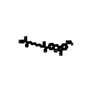 O=C(CCCCCCNC(=O)c1ccc(Cc2c[nH]c3ccc([N+](=O)[O-])cc23)c(Cl)c1)NO